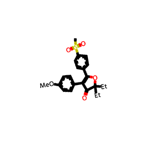 CCC1(CC)OC(c2ccc(S(C)(=O)=O)cc2)=C(c2ccc(OC)cc2)C1=O